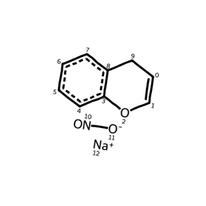 C1=COc2ccccc2C1.O=N[O-].[Na+]